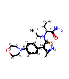 Cc1nsc(N(CC#N)[C@@H](CC(C)C)C(N)=O)c1-c1ccc(N2CCOCC2)cc1